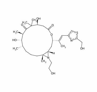 C/C(=C\c1csc(CO)n1)[C@@H]1C[C@@H]2N(CCO)[C@]2(C)CCC[C@H](C)[C@H](O)[C@@H](C)C(=O)C(C)(C)[C@@H](O)CC(=O)O1